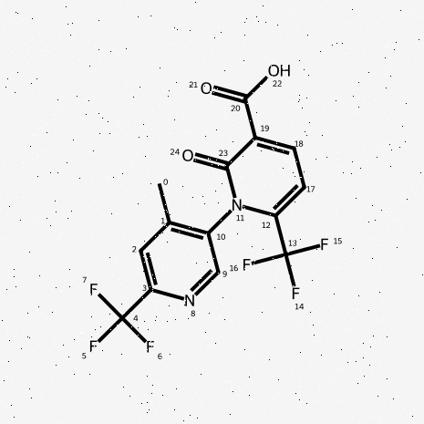 Cc1cc(C(F)(F)F)ncc1-n1c(C(F)(F)F)ccc(C(=O)O)c1=O